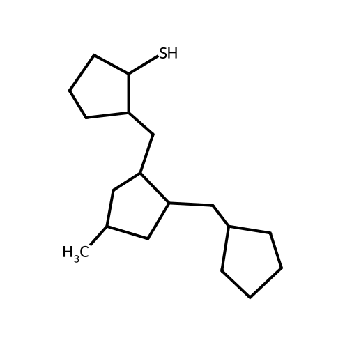 CC1CC(CC2CCCC2)C(CC2CCCC2S)C1